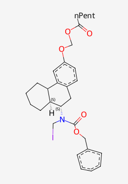 CCCCCC(=O)OCOc1ccc2c(c1)C1CCCC[C@@H]1[C@@H](N(CI)C(=O)OCc1ccccc1)C2